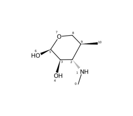 CN[C@@H]1[C@@H](O)[C@@H](O)OC[C@H]1C